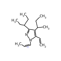 C=Cc1c(C(C)CC)c(C(CC)CC)nn1/C=C\C